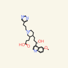 COc1ccc2nccc([C@@H](O)CCC3CCN(CCCc4cncnc4)CC3CCC(=O)O)c2c1